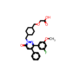 COc1cc(F)cc(-c2nn(CC3CCC(COCC(=O)O)CC3)c(=O)cc2-c2ccccc2)c1